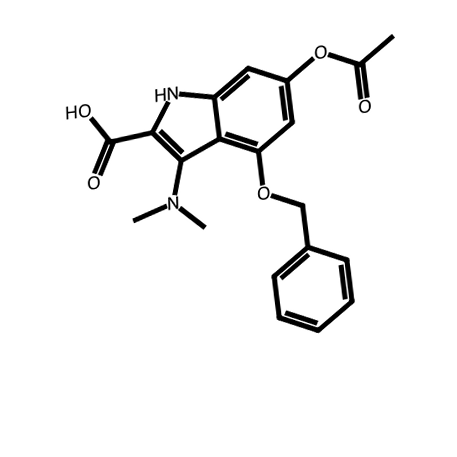 CC(=O)Oc1cc(OCc2ccccc2)c2c(N(C)C)c(C(=O)O)[nH]c2c1